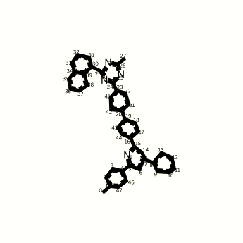 Cc1ccc(-c2cc(-c3ccccc3)cc(-c3ccc(-c4ccc(-c5nc(C)nc(-c6cccc7ccccc67)n5)cc4)cc3)n2)cc1